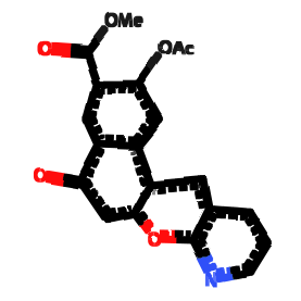 COC(=O)c1cc2c(=O)cc3oc4ncccc4cc-3c2cc1OC(C)=O